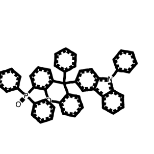 O=P(c1ccccc1)(c1ccccc1)c1cccc2c1Oc1ccccc1C2(c1ccccc1)c1ccc2c(c1)c1ccccc1n2-c1ccccc1